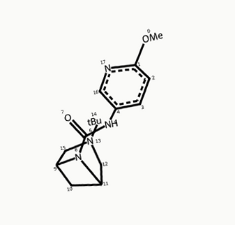 COc1ccc(NC(=O)N2C3CC2CN(C(C)(C)C)C3)cn1